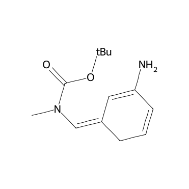 CN(C=C1C=C(N)C=CC1)C(=O)OC(C)(C)C